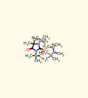 CC1(C)C(=O)N([Si](C)(C)C)C(=O)N1[Si](C)(C)C.CN([SiH](C)C)[Si](C)(C)C